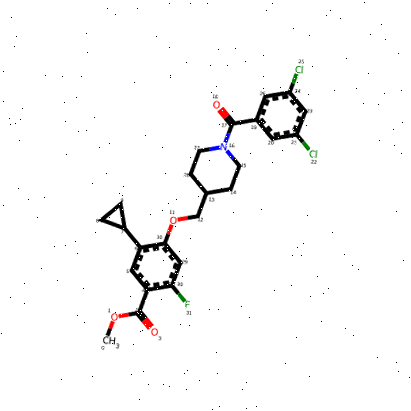 COC(=O)c1cc(C2CC2)c(OCC2CCN(C(=O)c3cc(Cl)cc(Cl)c3)CC2)cc1F